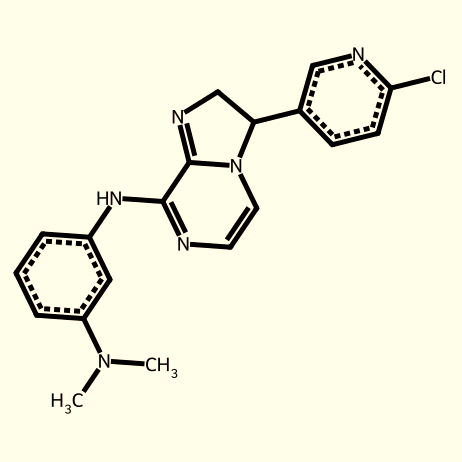 CN(C)c1cccc(NC2=NC=CN3C2=NCC3c2ccc(Cl)nc2)c1